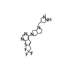 CN1CC(CN2CCC3CN(c4ncnc5sc(CC(F)(F)F)cc45)CC32)CN1